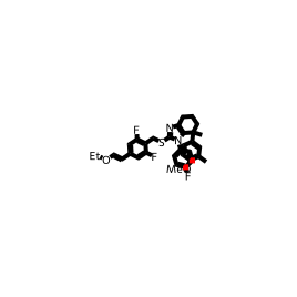 CCO/C=C/c1cc(F)c(CSc2nc3c(n2-c2ccc(F)cc2)C(C)(c2ccc(OC)c(C)c2)CCC3)c(F)c1